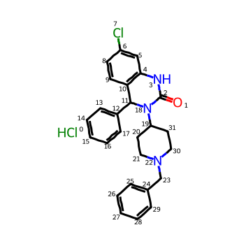 Cl.O=C1Nc2cc(Cl)ccc2C(c2ccccc2)N1C1CCN(Cc2ccccc2)CC1